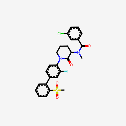 CN(C(=O)c1cccc(Cl)c1)C1CCCN(c2ccc(-c3ccccc3S(C)(=O)=O)cc2F)C1=O